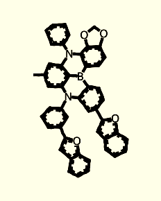 Cc1cc2c3c(c1)N(c1ccccc1)c1c(ccc4c1OCO4)B3c1ccc(-c3cc4ccccc4o3)cc1N2c1cccc(-c2cc3ccccc3o2)c1